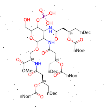 CCCCCCCCCCC[C@H](CC(=O)NC1C(OC[C@H](NC(=O)C[C@@H](CCCCCCCCCCC)OC(=O)CCCCCCCCC)C(=O)OC)OC(CO)C(OP(=O)(O)O)C1NC(=O)C[C@@H](CCCCCCCCCCC)OC(=O)CCCCCCCCC)OC(=O)CCCCCCCCC